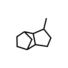 CC1CCC2C3CCC(C3)C12